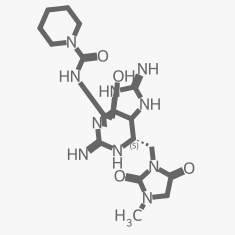 CN1CC(=O)N(C[C@@H]2NC(=N)N3CC(NC(=O)N4CCCCC4)C(O)C34NC(=N)NC24)C1=O